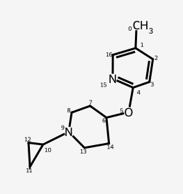 Cc1ccc(OC2CCN(C3CC3)CC2)nc1